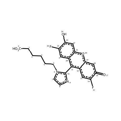 O=C(O)CCCCCn1ccnc1-c1c2cc(F)c(=O)cc-2oc2cc(O)c(F)cc12